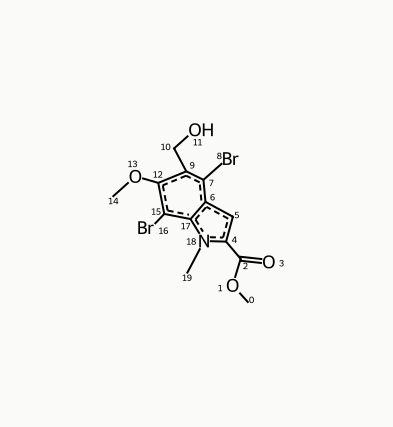 COC(=O)c1cc2c(Br)c(CO)c(OC)c(Br)c2n1C